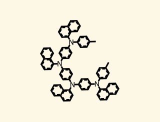 Cc1ccc(N(c2ccc(N(c3ccc(N(c4ccc(N(c5ccc(C)cc5)c5cccc6ccccc56)cc4)c4cccc5ccccc45)cc3)c3cccc4ccccc34)cc2)c2cccc3ccccc23)cc1